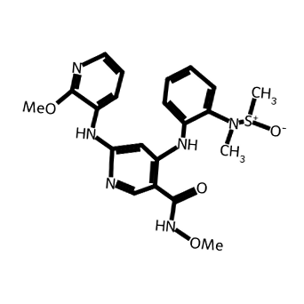 CONC(=O)c1cnc(Nc2cccnc2OC)cc1Nc1ccccc1N(C)[S+](C)[O-]